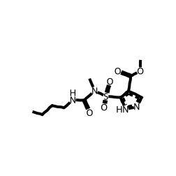 CCCCNC(=O)N(C)S(=O)(=O)c1[nH]ncc1C(=O)OC